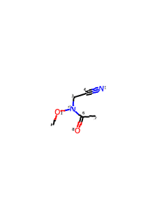 CON(CC#N)C(C)=O